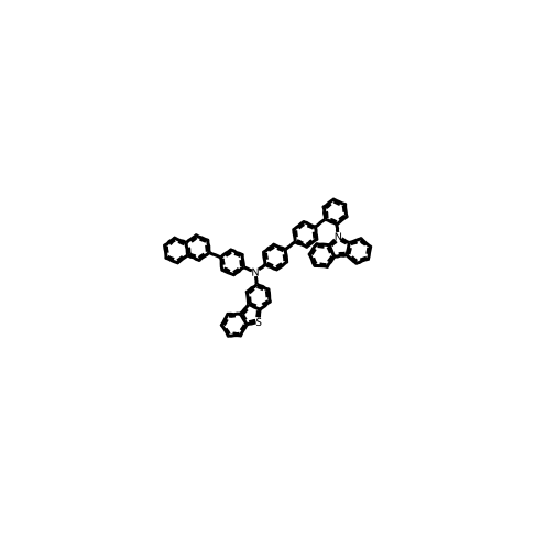 c1ccc(-n2c3ccccc3c3ccccc32)c(-c2ccc(-c3ccc(N(c4ccc(-c5ccc6ccccc6c5)cc4)c4ccc5sc6ccccc6c5c4)cc3)cc2)c1